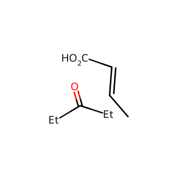 C/C=C/C(=O)O.CCC(=O)CC